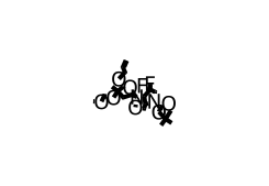 C=CCOC(=O)C(C)(CCN1OCC2C1C(F)(F)CN2C(=O)OC(C)(C)C)OCOC